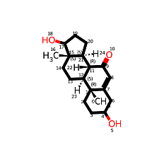 C[C@]12CCC(O)CC1=CC(=O)[C@@H]1[C@@H]2CC[C@]2(C)C(O)CC[C@@H]12